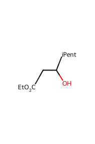 CCCC(C)C(O)CC(=O)OCC